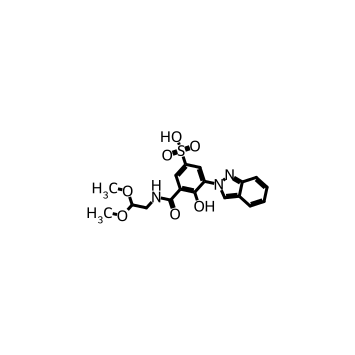 COC(CNC(=O)c1cc(S(=O)(=O)O)cc(-n2cc3ccccc3n2)c1O)OC